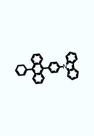 C1=CCCC(c2c3ccccc3c(-c3ccc(-n4c5ccccc5c5ccccc54)cc3)c3ccccc23)=C1